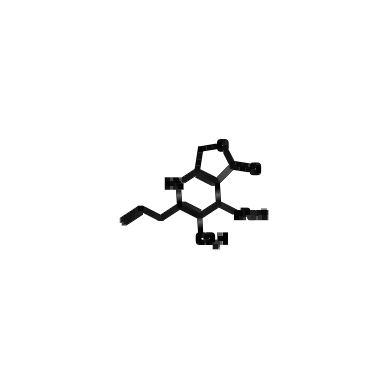 C=CCC1=C(C(=O)O)C(CCCCC)C2=C(COC2=O)N1